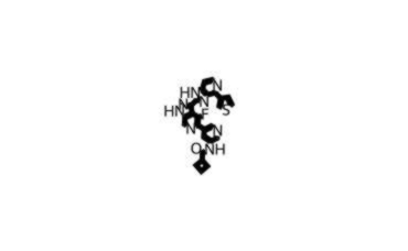 O=C(Nc1cncc(-c2ncc3[nH]nc(-c4nc5c(-c6ccsc6)nccc5[nH]4)c3c2F)c1)C1CCC1